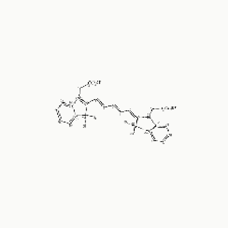 CCOC(=O)CN1/C(=C/C=C/C=C/C2=[N+](CC(=O)OCC)c3ccccc3C2(C)C)C(C)(C)c2ccccc21